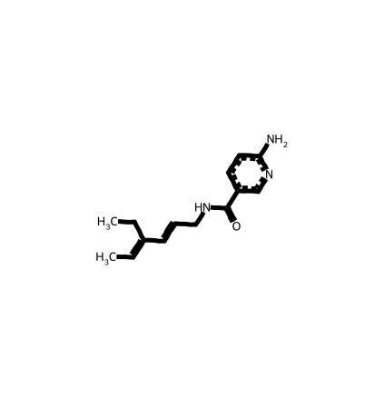 C/C=C(/C=C/CNC(=O)c1ccc(N)nc1)CC